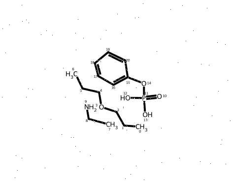 CCCOCCC.CCN.O=P(O)(O)Oc1ccccc1